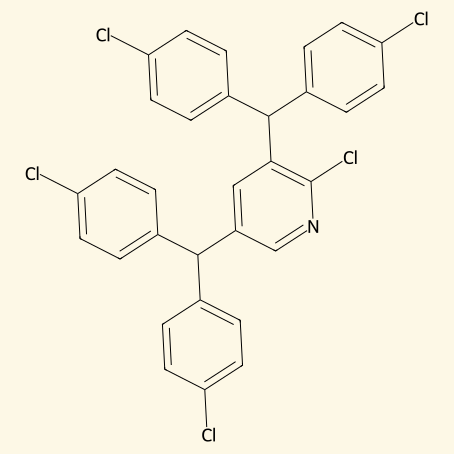 Clc1ccc(C(c2ccc(Cl)cc2)c2cnc(Cl)c(C(c3ccc(Cl)cc3)c3ccc(Cl)cc3)c2)cc1